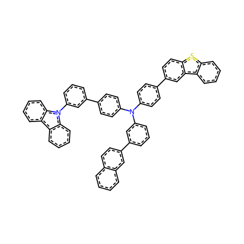 c1cc(-c2ccc3ccccc3c2)cc(N(c2ccc(-c3cccc(-n4c5ccccc5c5ccccc54)c3)cc2)c2ccc(-c3ccc4sc5ccccc5c4c3)cc2)c1